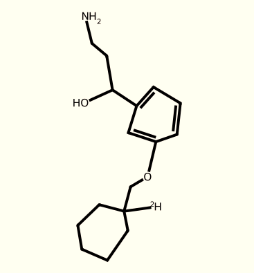 [2H]C1(COc2cccc(C(O)CCN)c2)CCCCC1